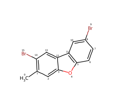 Cc1cc2oc3ccc(Br)cc3c2cc1Br